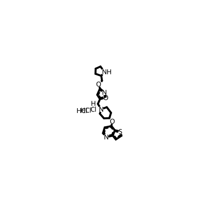 Cl.Cl.Cl.c1cc(OC2CCN(Cc3cc(OCC4CCCN4)no3)CC2)c2sccc2n1